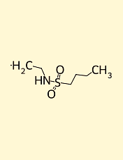 [CH2]CNS(=O)(=O)CCCC